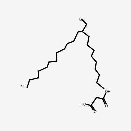 O=C(O)CC(=O)O.[KH].[Li][CH2]C(CCCCCCCCC)CCCCCCCCCCCC